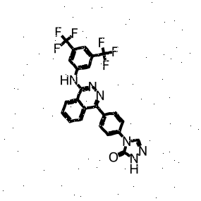 O=c1[nH]ncn1-c1ccc(-c2nnc(Nc3cc(C(F)(F)F)cc(C(F)(F)F)c3)c3ccccc23)cc1